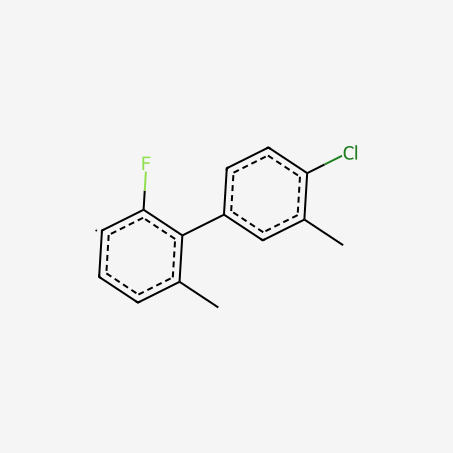 Cc1cc(-c2c(F)[c]ccc2C)ccc1Cl